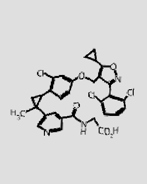 CC1(c2cncc(C(=O)NCC(=O)O)c2)CC1c1ccc(OCc2c(-c3c(Cl)cccc3Cl)noc2C2CC2)cc1Cl